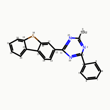 CC(C)(C)c1nc(-c2ccccc2)nc(-c2ccc3c(c2)sc2ccccc23)n1